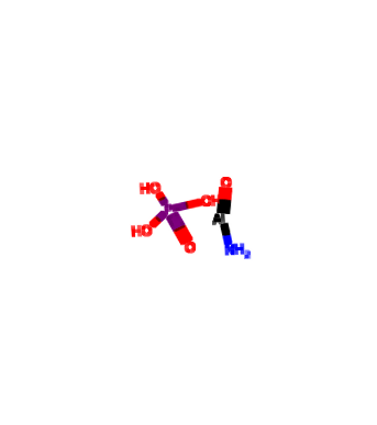 O=P(O)(O)O.[NH2][Al]=[O]